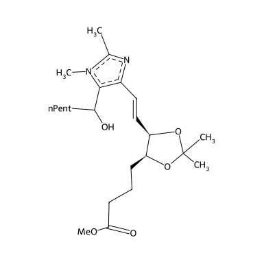 CCCCCC(O)c1c(/C=C/[C@H]2OC(C)(C)O[C@H]2CCCC(=O)OC)nc(C)n1C